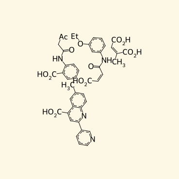 C/C(=C/C(=O)O)C(=O)O.CC(=O)CC(=O)Nc1ccccc1C(=O)O.CCOc1cccc(NC(=O)/C=C\C(=O)O)c1.Cc1ccc2nc(-c3cccnc3)cc(C(=O)O)c2c1